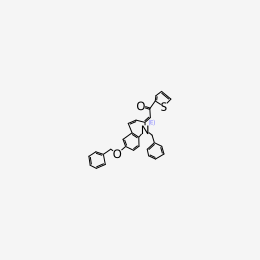 O=C(/C=C1\C=Cc2cc(OCc3ccccc3)ccc2N1Cc1ccccc1)c1cccs1